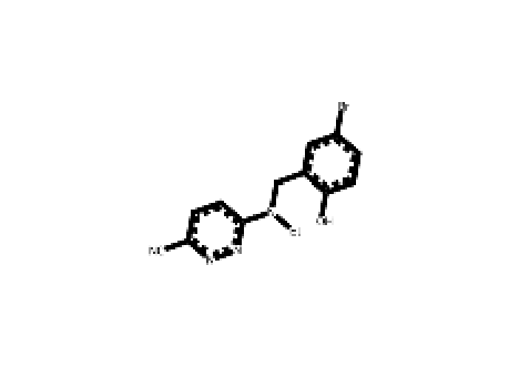 CCN(Cc1cc(Br)ccc1O)c1ccc(C#N)nn1